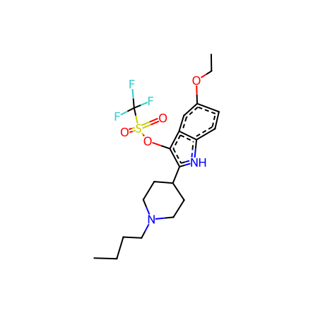 CCCCN1CCC(c2[nH]c3ccc(OCC)cc3c2OS(=O)(=O)C(F)(F)F)CC1